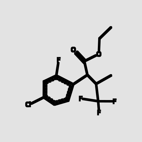 CCOC(=O)C(c1ccc(Cl)cc1F)C(C)C(F)(F)F